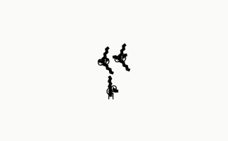 CCCCCC[Si](CCCCCC)(OC)OC.CCCCCC[Si](CCCCCC)(OCC)OCC.CCCCC[SiH](OCC)OCC